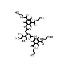 O=C(CN(CC(=O)Nc1c(I)c(C(=O)NCCO)c(I)c(C(=O)NCCO)c1I)C(CO)C(O)CO)Nc1c(I)c(C(=O)NCCO)c(I)c(C(=O)NCCO)c1I